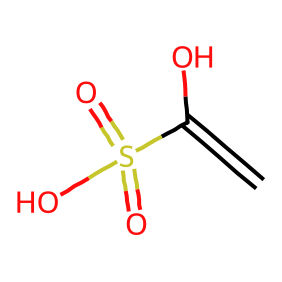 C=C(O)S(=O)(=O)O